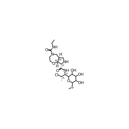 CCNC(=O)N1CCO[C@@H]2[C@H](CN[C@@H]2C(=O)N[C@@H](C2OC(SC)C(O)C(O)C2O)[C@H](C)Cl)C1